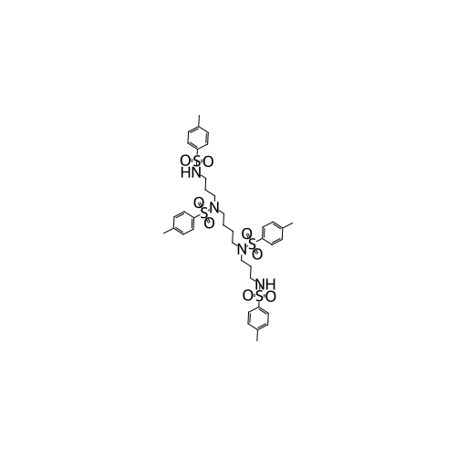 Cc1ccc(S(=O)(=O)NCCCN(CCCCN(CCCNS(=O)(=O)c2ccc(C)cc2)S(=O)(=O)c2ccc(C)cc2)S(=O)(=O)c2ccc(C)cc2)cc1